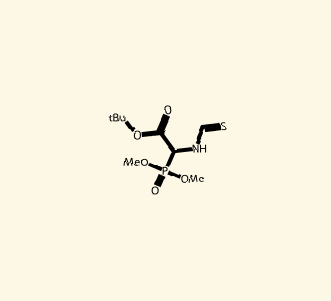 COP(=O)(OC)C(NC=S)C(=O)OC(C)(C)C